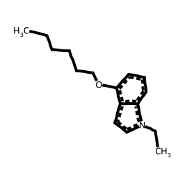 CCCCCCOc1cccc2c1ccn2CC